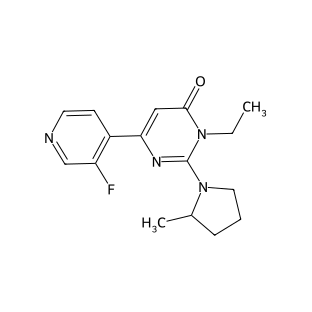 CCn1c(N2CCCC2C)nc(-c2ccncc2F)cc1=O